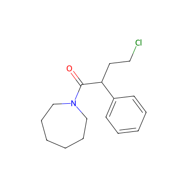 O=C(C(CCCl)c1ccccc1)N1CCCCCC1